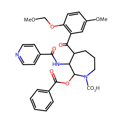 COCOc1ccc(OC)cc1C(=O)C1CCCN(C(=O)O)C(OC(=O)c2ccccc2)C1NC(=O)c1ccncc1